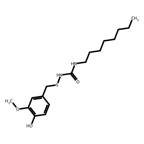 CCCCCCCCNC(=O)NSCc1ccc(O)c(OC)c1